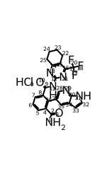 Cl.NC(=O)c1cccc(C(=O)Nc2nc3c(c(C(F)(F)F)n2)CCCC3)c1-c1cnc2[nH]ccc2c1